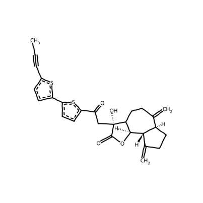 C=C1CC[C@@H]2C(=C)CCC3[C@H](OC(=O)[C@@]3(O)CC(=O)c3ccc(-c4ccc(C#CC)s4)s3)[C@@H]12